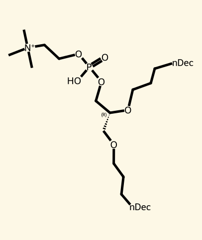 CCCCCCCCCCCCCOC[C@H](COP(=O)(O)OCC[N+](C)(C)C)OCCCCCCCCCCCCC